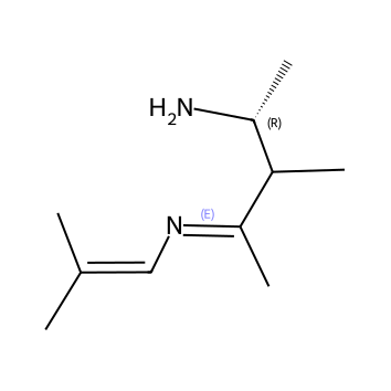 CC(C)=C/N=C(\C)C(C)[C@@H](C)N